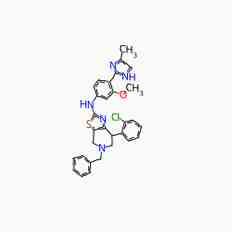 COc1cc(Nc2nc3c(s2)CN(Cc2ccccc2)CC3c2ccccc2Cl)ccc1-c1nc(C)c[nH]1